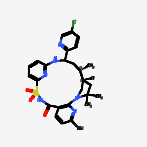 C[C@H]1CC(c2ccc(Cl)cn2)Nc2cccc(n2)S(=O)(=O)NC(=O)c2ccc(C(C)(C)C)nc2N2C[C@@H]1CC2(C)C